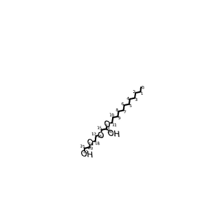 CCCCCCCCCCCCOC(O)COCCOCCO